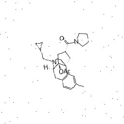 CC(=O)O[C@@]12C[C@H](C(=O)N3CCCC3)C[C@@]13CCN(CC1CC1)[C@@H]2Cc1ccc(C)cc13